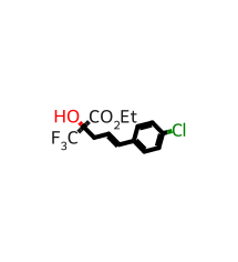 CCOC(=O)C(O)(CC=Cc1ccc(Cl)cc1)C(F)(F)F